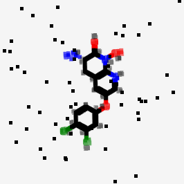 N[C@H]1Cc2cc(Oc3ccc(Cl)c(Cl)c3)cnc2N(O)C1=O